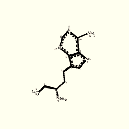 CN[C@@H](CO)CCc1c[nH]c2c(N)ncnc12